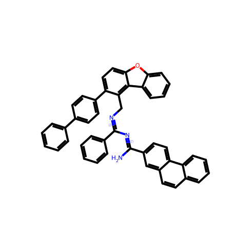 N/C(=N\C(=N/Cc1c(-c2ccc(-c3ccccc3)cc2)ccc2oc3ccccc3c12)c1ccccc1)c1ccc2c(ccc3ccccc32)c1